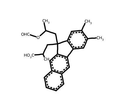 Cc1cc2c(cc1C)C(CC(C)OC=O)(CC(C)C(=O)O)c1cc3ccccc3cc1-2